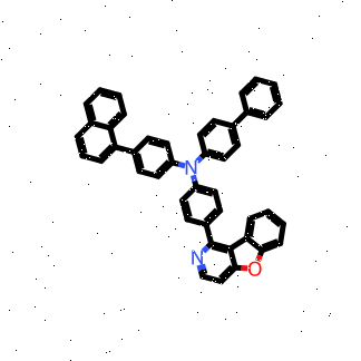 c1ccc(-c2ccc(N(c3ccc(-c4cccc5ccccc45)cc3)c3ccc(-c4nccc5oc6ccccc6c45)cc3)cc2)cc1